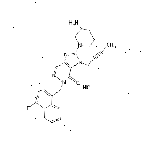 CC#CCn1c(N2CCCC(N)C2)nc2cnn(Cc3ccc(F)c4ccccc34)c(=O)c21.Cl